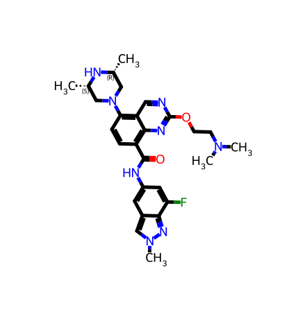 C[C@@H]1CN(c2ccc(C(=O)Nc3cc(F)c4nn(C)cc4c3)c3nc(OCCN(C)C)ncc23)C[C@H](C)N1